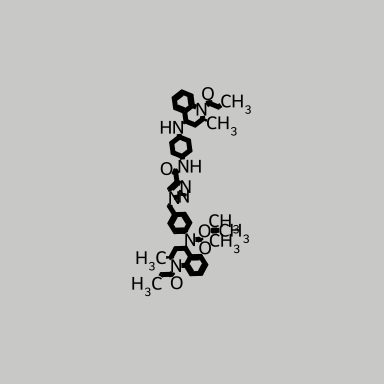 CCC(=O)N1c2ccccc2[C@H](N(C(=O)OC(C)(C)C)c2ccc(Cn3cc(C(=O)NC4CCC(N[C@@H]5C[C@H](C)N(C(=O)CC)c6ccccc65)CC4)nn3)cc2)C[C@@H]1C